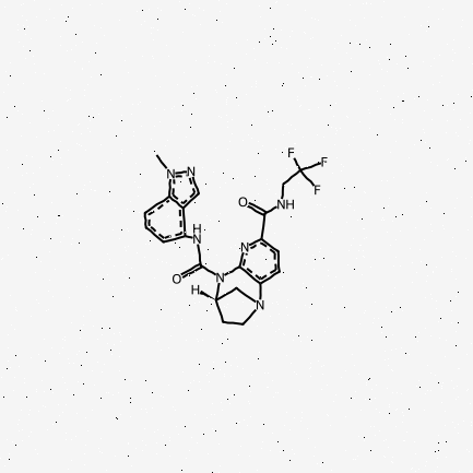 Cn1ncc2c(NC(=O)N3c4nc(C(=O)NCC(F)(F)F)ccc4N4CC[C@H]3C4)cccc21